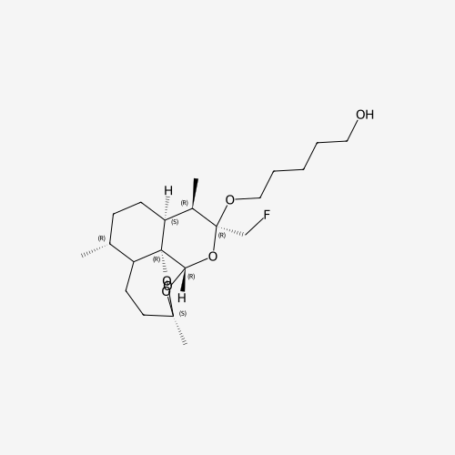 C[C@@H]1CC[C@H]2[C@@H](C)[C@@](CF)(OCCCCCO)O[C@@H]3O[C@]4(C)CCC1[C@]32OO4